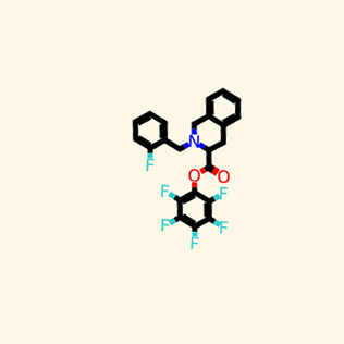 O=C(Oc1c(F)c(F)c(F)c(F)c1F)C1Cc2ccccc2CN1Cc1ccccc1F